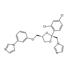 Clc1ccc([C@]2(Cn3ccnc3)OC[C@@H](COc3cccc(-n4ccnc4)c3)O2)c(Cl)c1